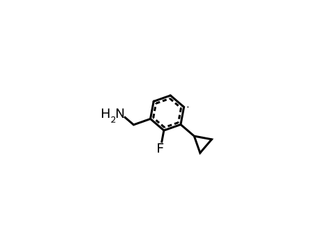 NCc1cc[c]c(C2CC2)c1F